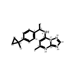 Cc1cc(NC(C)c2ccc(C3(C)CC3)cc2)n2ncnc2n1